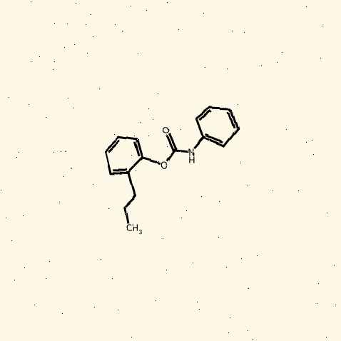 CCCc1ccccc1OC(=O)Nc1ccccc1